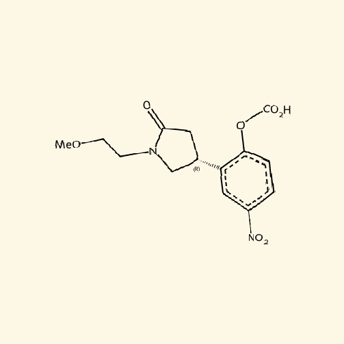 COCCN1C[C@@H](c2cc([N+](=O)[O-])ccc2OC(=O)O)CC1=O